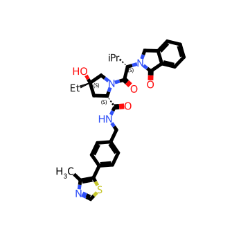 CC[C@]1(O)C[C@@H](C(=O)NCc2ccc(-c3scnc3C)cc2)N(C(=O)[C@H](C(C)C)N2Cc3ccccc3C2=O)C1